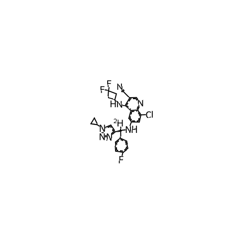 [2H]C(Nc1cc(Cl)c2ncc(C#N)c(NC3CC(F)(F)C3)c2c1)(c1ccc(F)cc1)c1cn(C2CC2)nn1